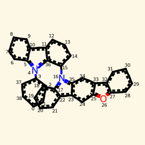 c1ccc(-n2c3ccccc3c3cccc(-n4c5ccccc5c5cc6oc7ccccc7c6cc54)c32)cc1